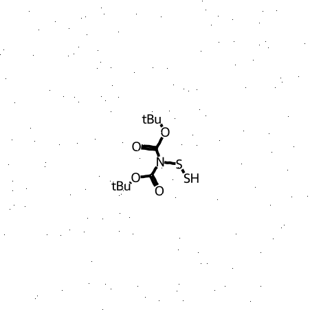 CC(C)(C)OC(=O)N(SS)C(=O)OC(C)(C)C